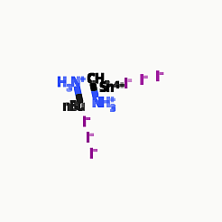 CCCC[NH3+].C[NH3+].[I-].[I-].[I-].[I-].[I-].[I-].[Sn+4]